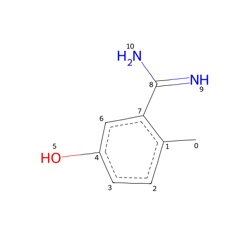 Cc1ccc(O)cc1C(=N)N